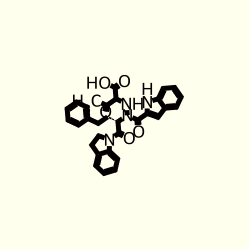 CC(=O)C(NN(C(=O)c1cc2ccccc2[nH]1)[C@@H](CCc1ccccc1)C(=O)N1CCc2ccccc21)C(=O)O